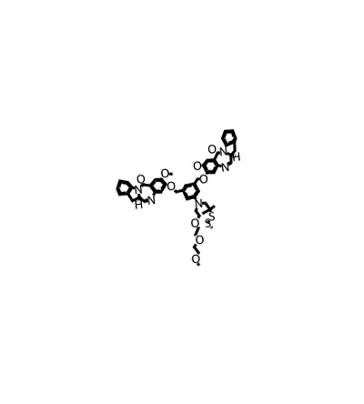 COCCOCCOCCN(CC(C)(C)SSC)c1cc(COc2cc3c(cc2OC)C(=O)N2c4ccccc4C[C@H]2C=N3)cc(COc2cc3c(cc2OC)C(=O)N2c4ccccc4C[C@H]2C=N3)c1